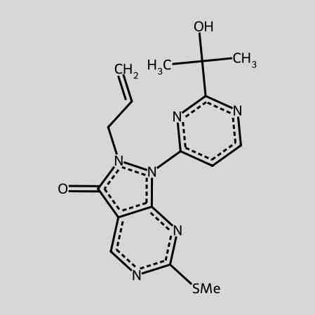 C=CCn1c(=O)c2cnc(SC)nc2n1-c1ccnc(C(C)(C)O)n1